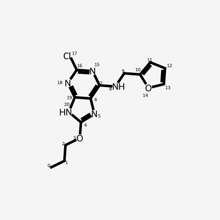 CCCOc1nc2c(NCc3ccco3)nc(Cl)nc2[nH]1